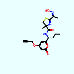 C#CCOc1cc([C@@H](CCC)NC(=O)C2(C)CSC(/C(C)=N\O)=N2)oc(=O)c1